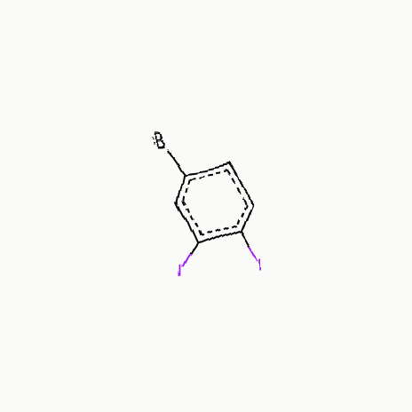 [B]c1ccc(I)c(I)c1